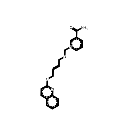 NC(=O)c1ccc[n+](COCC=CCOc2ccc3ccccc3n2)c1